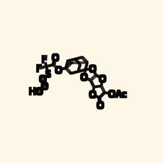 CC(=O)OC1C(=O)OC2C3OC4(OC3OC12)C1CC2CC4CC(OC(=O)C(F)(F)SOOO)(C2)C1